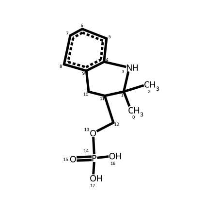 CC1(C)Nc2ccccc2CC1COP(=O)(O)O